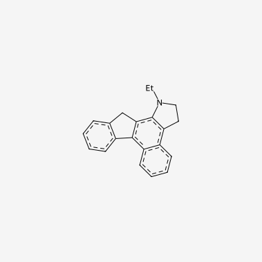 CCN1CCc2c1c1c(c3ccccc23)-c2ccccc2C1